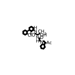 CC(=O)c1cn(CC(=O)NC(C(=O)Nc2cccc(-c3ccccc3Cl)c2F)C(C)O)c2ccccc12